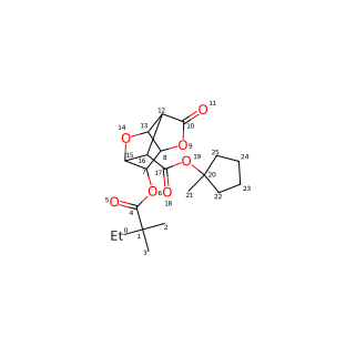 CCC(C)(C)C(=O)OC1C2OC(=O)C3C2OC1C3C(=O)OC1(C)CCCC1